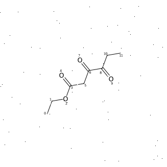 CCOC(=O)CC(=O)C(=O)CC